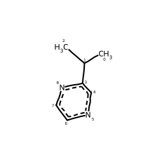 CC(C)c1[c]nccn1